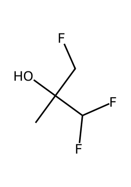 CC(O)(CF)C(F)F